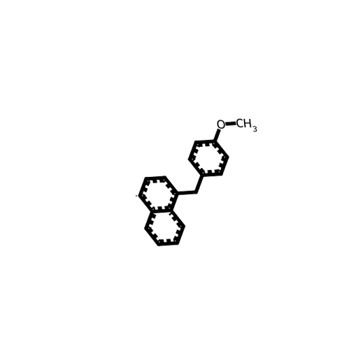 COc1ccc(Cc2cc[c]c3ccccc23)cc1